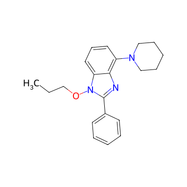 CCCOn1c(-c2ccccc2)nc2c(N3CCCCC3)cccc21